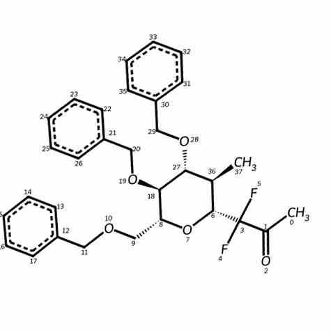 CC(=O)C(F)(F)[C@@H]1O[C@H](COCc2ccccc2)[C@@H](OCc2ccccc2)[C@H](OCc2ccccc2)[C@H]1C